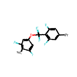 CC(C)c1cc(F)c(C(F)(F)Oc2cc(F)c(C#N)c(F)c2)c(F)c1